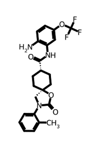 Cc1ccccc1N1C[C@]2(CC[C@@H](C(=O)Nc3cc(OC(F)(F)F)ccc3N)CC2)OC1=O